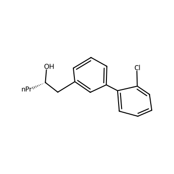 CCC[C@H](O)Cc1cccc(-c2ccccc2Cl)c1